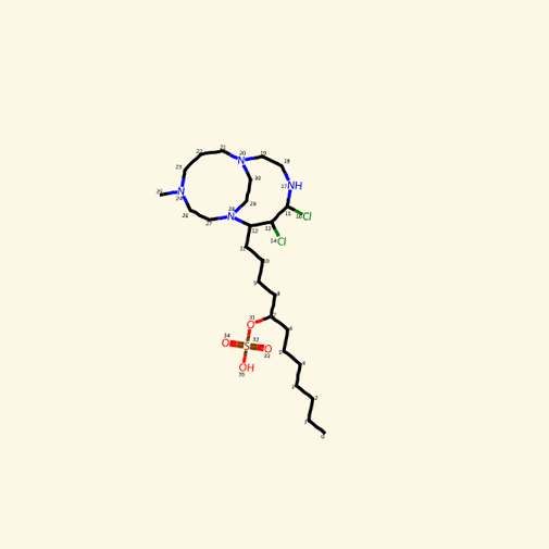 CCCCCCCC(CCCCC1C(Cl)C(Cl)NCCN2CCCN(C)CCN1CC2)OS(=O)(=O)O